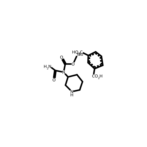 CC(C)(C)OC(=O)N(C(N)=O)C1CCCNC1.O=C(O)c1cccc(C(=O)O)c1